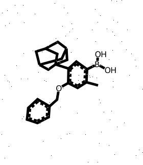 Cc1cc(OCc2ccccc2)c(C23CC4CC(CC(C4)C2)C3)cc1B(O)O